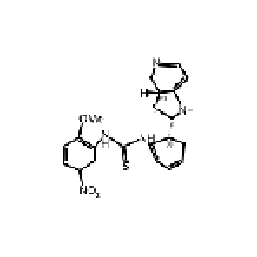 COC1=C(NC(=S)NC2=CC=CC[C@H]2C2NC3=CC=NC[C@H]3S2)CC([N+](=O)[O-])C=C1